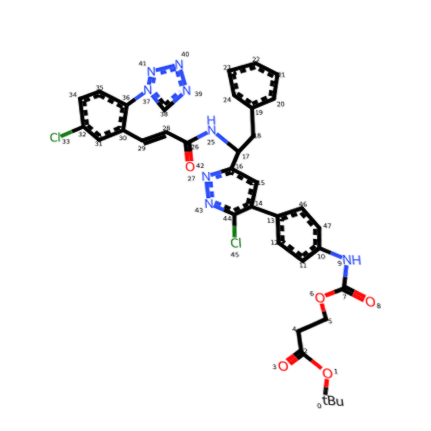 CC(C)(C)OC(=O)CCOC(=O)Nc1ccc(-c2cc(C(Cc3ccccc3)NC(=O)C=Cc3cc(Cl)ccc3-n3cnnn3)nnc2Cl)cc1